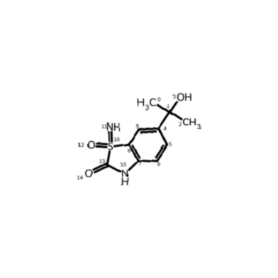 CC(C)(O)c1ccc2c(c1)S(=N)(=O)C(=O)N2